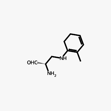 CC1=C(NC[C@H](N)C=O)CCC=C1